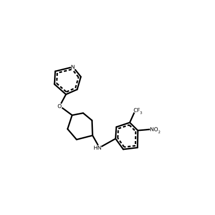 O=[N+]([O-])c1ccc(NC2CCC(Oc3ccncc3)CC2)cc1C(F)(F)F